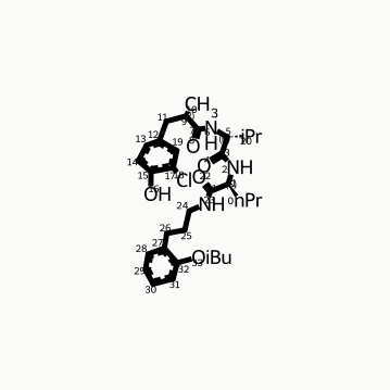 CCC[C@H](NC(=O)[C@H](NC(=O)[C@H](C)Cc1ccc(O)c(Cl)c1)C(C)C)C(=O)NCCCc1ccccc1OCC(C)C